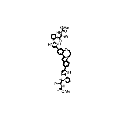 COC(=O)N[C@H](C(=O)N1CCC[C@H]1c1ncc(-c2ccc3c(c2)cc2n3CCCOc3cc(C4=CNC([C@@H]5CCCN5C(=O)[C@@H](NC(=O)OC)C(C)C)N4)ccc3-2)[nH]1)C(C)C